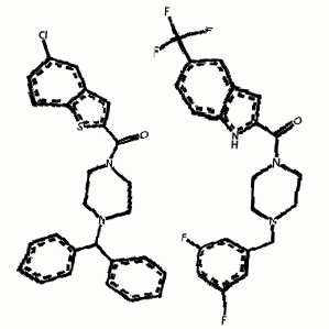 O=C(c1cc2cc(C(F)(F)F)ccc2[nH]1)N1CCN(Cc2cc(F)cc(F)c2)CC1.O=C(c1cc2cc(Cl)ccc2s1)N1CCN(C(c2ccccc2)c2ccccc2)CC1